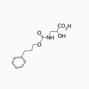 O=C(NCC(O)C(=O)O)OCCCc1ccccc1